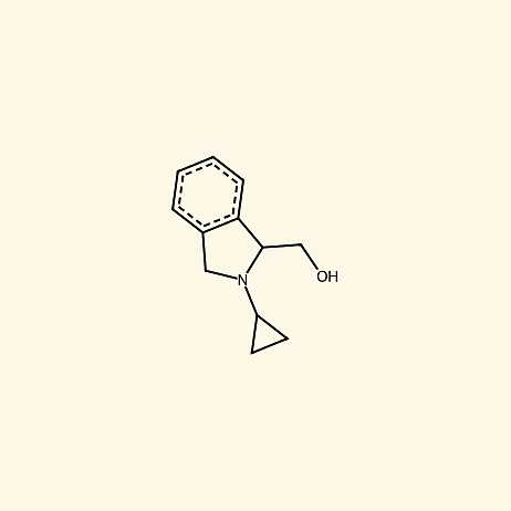 OCC1c2ccccc2CN1C1CC1